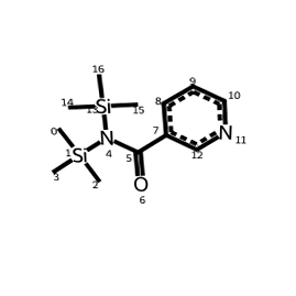 C[Si](C)(C)N(C(=O)c1cccnc1)[Si](C)(C)C